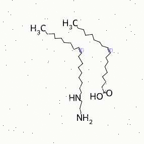 CCCCCCCC/C=C\CCCCCCCC(=O)O.CCCCCCCC/C=C\CCCCCCCCNCCCN